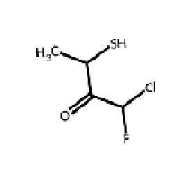 CC(S)C(=O)C(F)Cl